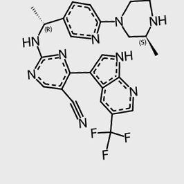 C[C@H]1CN(c2ccc([C@@H](C)Nc3ncc(C#N)c(-c4c[nH]c5ncc(C(F)(F)F)cc45)n3)cn2)CCN1